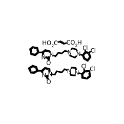 O=C(O)C=CC(=O)O.O=c1nc(-c2ccccc2)ccn1CCCCN1CCN(c2cccc(Cl)c2Cl)CC1.O=c1nc(-c2ccccc2)ccn1CCCCN1CCN(c2cccc(Cl)c2Cl)CC1